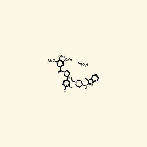 COc1cc(C(=O)N2CC[C@@](CCN3CCC(Nc4nc5ccccc5n4C)CC3)(c3ccc(Cl)c(Cl)c3)C2)cc(OC)c1OC.CS(=O)(=O)O